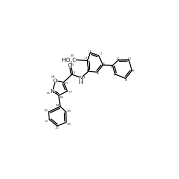 O=C(Nc1cc(-c2ccccc2)ccc1C(=O)O)c1cc(-c2ccccc2)no1